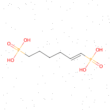 O=P(O)(O)C=CCCCCP(=O)(O)O